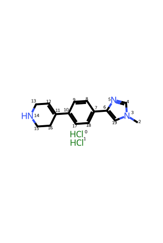 Cl.Cl.Cn1cnc(-c2ccc(C3=CCNCC3)cc2)c1